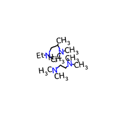 CCN(C)CC(C)N(C)C.CN(C)CCN(C)C